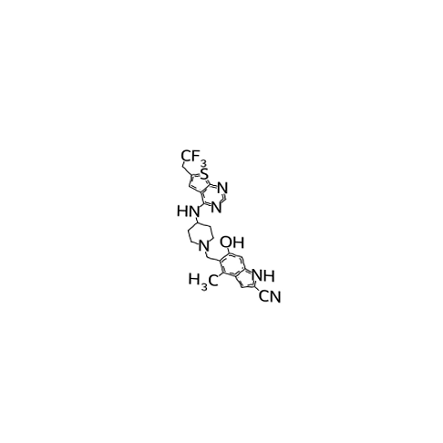 Cc1c(CN2CCC(Nc3ncnc4sc(CC(F)(F)F)cc34)CC2)c(O)cc2[nH]c(C#N)cc12